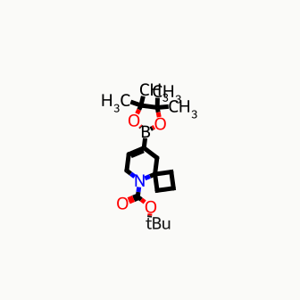 CC(C)(C)OC(=O)N1CC=C(B2OC(C)(C)C(C)(C)O2)CC12CCC2